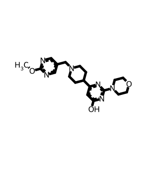 COc1ncc(CN2CCC(c3cc(O)nc(N4CCOCC4)n3)CC2)cn1